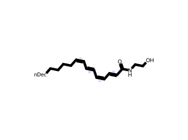 CCCCCCCCCCCCCC\C=C/C=C/C=C\C=C\C(=O)NCCO